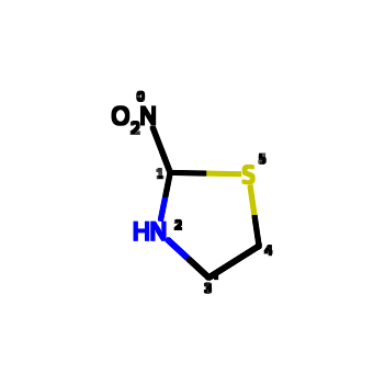 O=[N+]([O-])C1N[CH]CS1